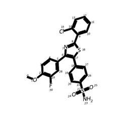 COc1ccc(-c2nc(-c3ccccc3Cl)sc2-c2ccc(S(N)(=O)=O)cc2)cc1F